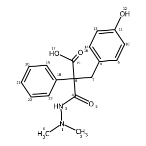 CN(C)NC(=O)C(Cc1ccc(O)cc1)(C(=O)O)c1ccccc1